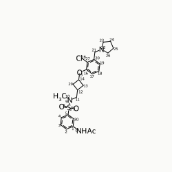 CC(=O)Nc1cccc(S(=O)(=O)N(C)CC2CC(Oc3cccc(CN4CCCC4)c3Cl)C2)c1